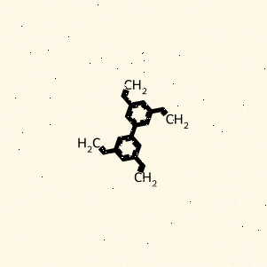 C=Cc1cc(C=C)cc(-c2cc(C=C)cc(C=C)c2)c1